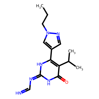 CCCn1cc(-c2[nH]/c(=N/C=N)[nH]c(=O)c2C(C)C)cn1